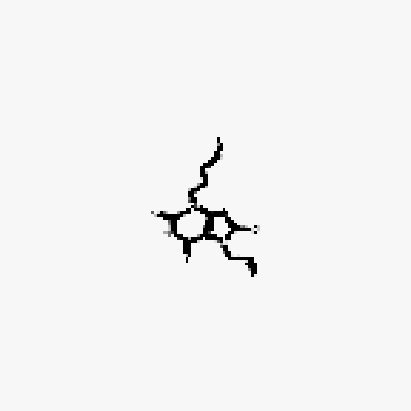 C=CCn1c(Cl)nc2c1c(=O)[nH]c(=O)n2CCCCF